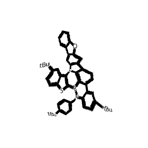 CC(C)(C)c1ccc(N2B3c4sc5ccc(C(C)(C)C)cc5c4-n4c5cc6c(cc5c5ccc(c3c54)-c3cc(C(C)(C)C)ccc32)oc2ccccc26)cc1